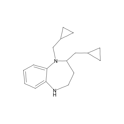 c1ccc2c(c1)NCCC(CC1CC1)N2CC1CC1